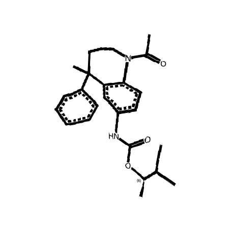 CC(=O)N1CCC(C)(c2ccccc2)c2cc(NC(=O)O[C@H](C)C(C)C)ccc21